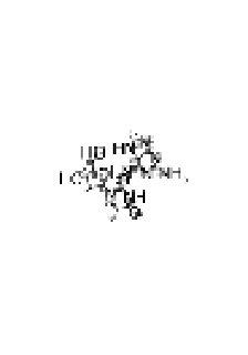 Cc1cn([C@H]2C[C@H](O)[C@@H](CO)O2)c(=O)[nH]c1=O.Nc1nc(N)c2[nH]cnc2n1